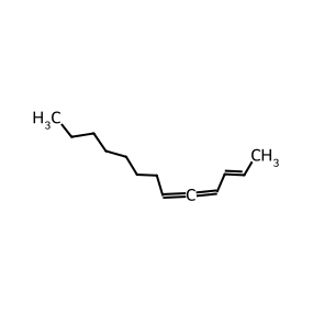 CC=CC=C=CCCCCCCC